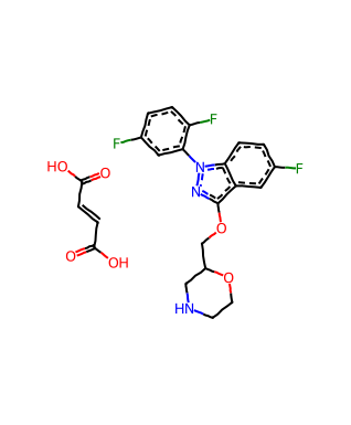 Fc1ccc(F)c(-n2nc(OCC3CNCCO3)c3cc(F)ccc32)c1.O=C(O)C=CC(=O)O